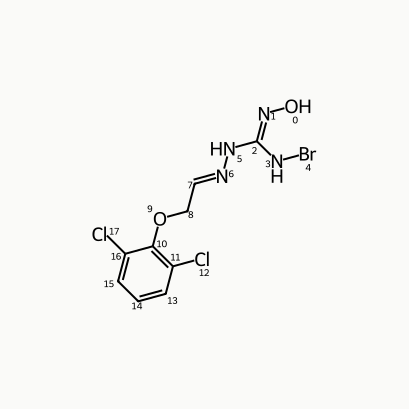 ON=C(NBr)NN=CCOc1c(Cl)cccc1Cl